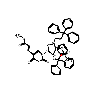 COC(=O)C=Cc1cn([C@@H]2O[C@H](COC(c3ccccc3)(c3ccccc3)c3ccccc3)[C@@H](OS(C)(=O)=O)[C@H]2OC(c2ccccc2)(c2ccccc2)c2ccccc2)c(=O)[nH]c1=O